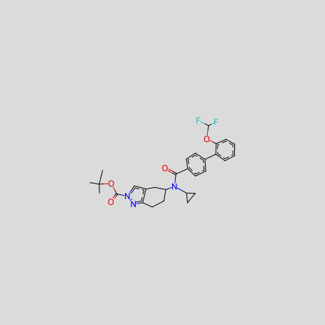 CC(C)(C)OC(=O)n1cc2c(n1)CCC(N(C(=O)c1ccc(-c3ccccc3OC(F)F)cc1)C1CC1)C2